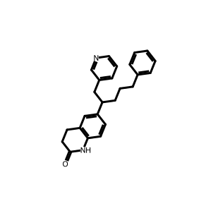 O=C1CCc2cc(C(CCCc3ccccc3)Cc3cccnc3)ccc2N1